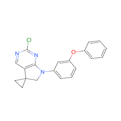 Clc1ncc2c(n1)N(c1cccc(Oc3ccccc3)c1)CC21CC1